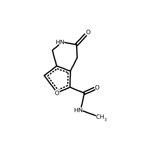 CNC(=O)c1occ2c1CC(=O)NC2